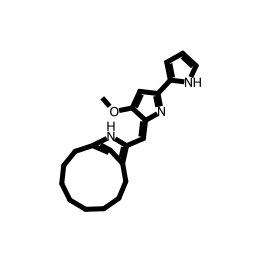 COC1=CC(c2ccc[nH]2)=N/C1=C/c1[nH]c2cc1CCCCCCCC2